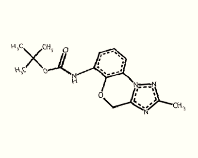 Cc1nc2n(n1)-c1cccc(NC(=O)OC(C)(C)C)c1OC2